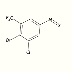 FC(F)(F)c1cc(N=S)cc(Cl)c1Br